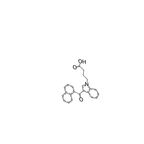 O=C(O)CCCn1cc(C(=O)c2cccc3ccccc23)c2ccccc21